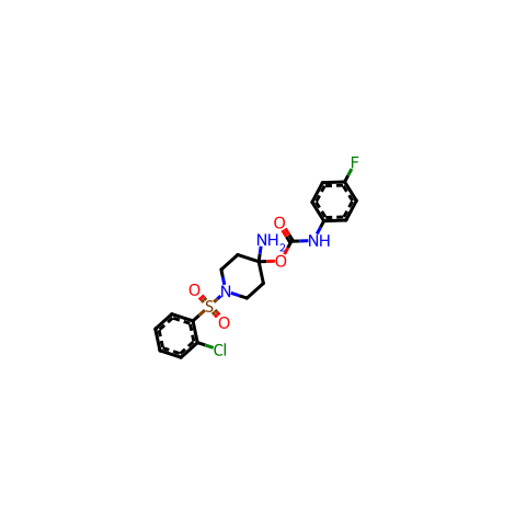 NC1(OC(=O)Nc2ccc(F)cc2)CCN(S(=O)(=O)c2ccccc2Cl)CC1